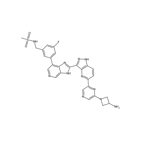 CS(=O)(=O)NCc1cc(F)cc(-c2cncc3[nH]c(-c4n[nH]c5ccc(-c6cncc(N7CC(N)C7)n6)nc45)nc23)c1